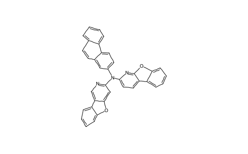 c1ccc2c(c1)ccc1cc(N(c3cc4oc5ccccc5c4cn3)c3ccc4c(n3)oc3ccccc34)ccc12